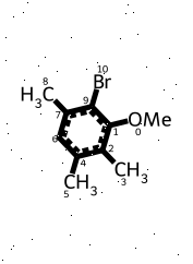 COc1c(C)c(C)cc(C)c1Br